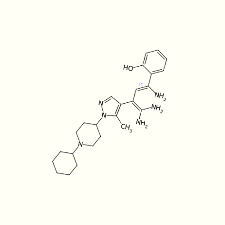 Cc1c(C(/C=C(\N)c2ccccc2O)=C(N)N)cnn1C1CCN(C2CCCCC2)CC1